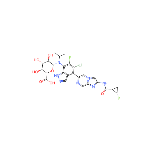 CC(C)N(c1c(F)c(Cl)c(-c2cn3cc(NC(=O)[C@@H]4C[C@@H]4F)nc3cn2)c2cn[nH]c12)[C@@H]1O[C@H](C(=O)O)[C@@H](O)[C@H](O)[C@H]1O